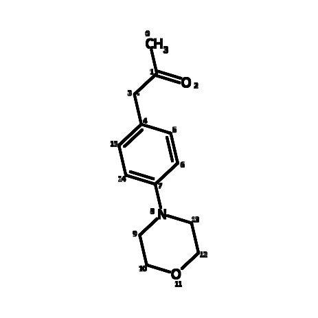 CC(=O)[CH]c1ccc(N2CCOCC2)cc1